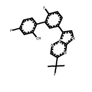 CC(C)(F)c1cnn2c(-c3ccc(F)c(-c4ccc(F)cc4C#N)c3)cnc2n1